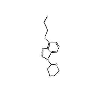 ICCOc1cccc2c1cnn2C1CCCCO1